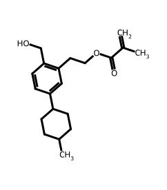 C=C(C)C(=O)OCCc1cc(C2CCC(C)CC2)ccc1CO